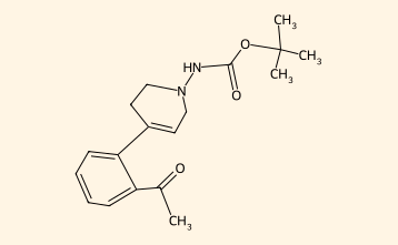 CC(=O)c1ccccc1C1=CCN(NC(=O)OC(C)(C)C)CC1